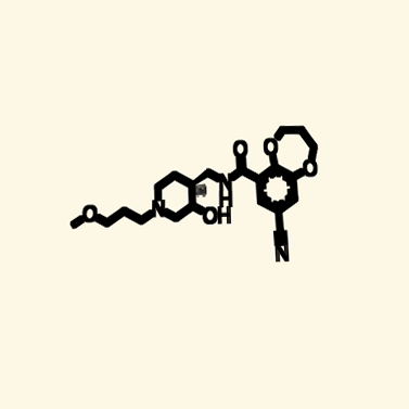 COCCCN1CC[C@@H](CNC(=O)c2cc(C#N)cc3c2OCCCO3)C(O)C1